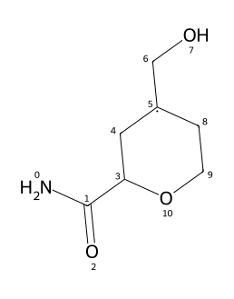 NC(=O)C1C[C](CO)CCO1